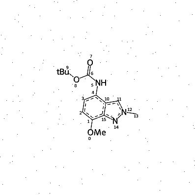 COc1ccc(NC(=O)OC(C)(C)C)c2cn(C)nc12